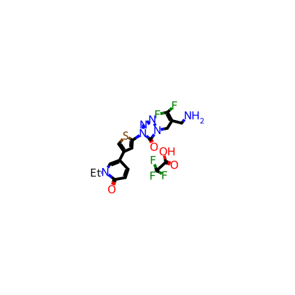 CCn1cc(-c2csc(-n3nnn(CC(CN)=C(F)F)c3=O)c2)ccc1=O.O=C(O)C(F)(F)F